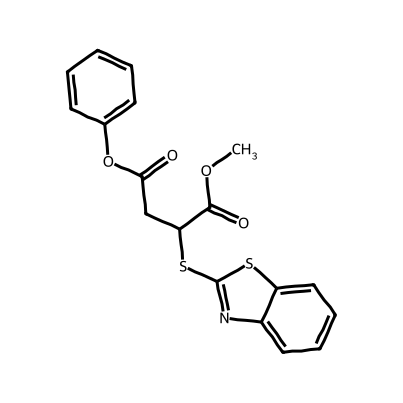 COC(=O)C(CC(=O)Oc1ccccc1)Sc1nc2ccccc2s1